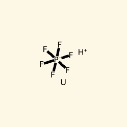 F[P-](F)(F)(F)(F)F.[H+].[U]